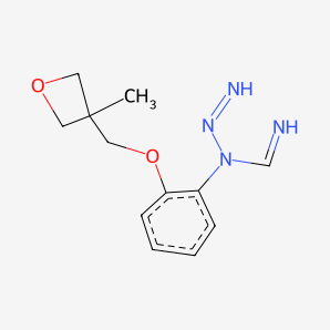 CC1(COc2ccccc2N(C=N)N=N)COC1